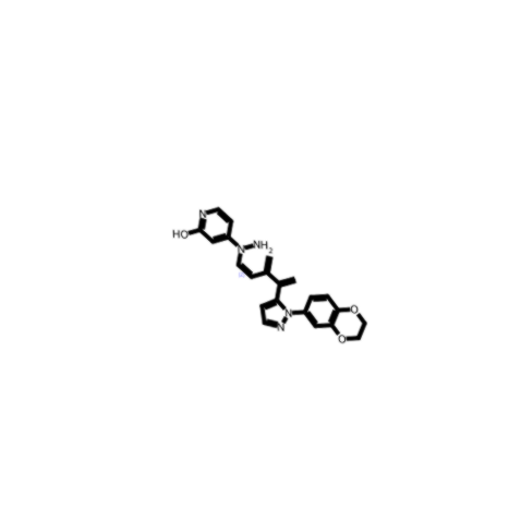 C=C(/C=C\N(N)c1ccnc(O)c1)C(=C)c1ccnn1-c1ccc2c(c1)OCCO2